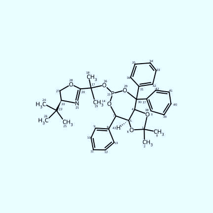 CC1(C)OC2[C@@H](O1)C(c1ccccc1)OP(OC(C)(C)C1=N[C@@H](C(C)(C)C)CO1)OC2(c1ccccc1)c1ccccc1